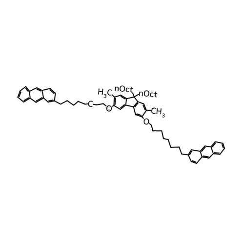 CCCCCCCCC1(CCCCCCCC)c2cc(C)c(OCCCCCCCCc3ccc4cc5ccccc5cc4c3)cc2-c2cc(OCCCCCCCCc3ccc4cc5ccccc5cc4c3)c(C)cc21